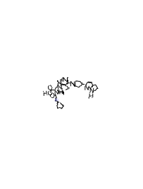 CCc1c(NCC(NC(=O)/C=C/c2ccccc2)C(=O)O)ncnc1N1CCC(c2ccc3c(n2)NCCC3)CC1